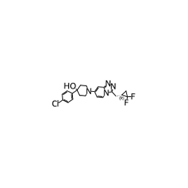 OC1(c2ccc(Cl)cc2)CCN(c2ccn3c(C[C@@H]4CC4(F)F)nnc3c2)CC1